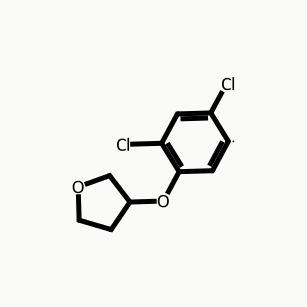 Clc1[c]cc(OC2CCOC2)c(Cl)c1